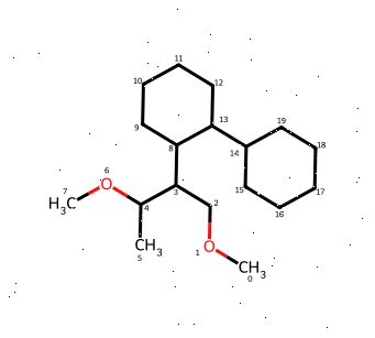 COCC(C(C)OC)C1CCCCC1C1CCCCC1